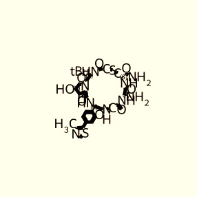 Cc1ncsc1-c1ccc([C@H]2NC(=O)[C@@H]3C[C@@H](O)CN3C(=O)[C@H](C(C)(C)C)NC(=O)CSC[C@H](C(N)=O)NC(=O)[C@H](N)NC(=O)CNC2=O)cc1